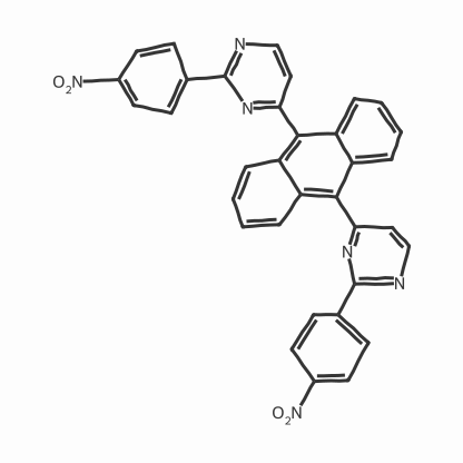 O=[N+]([O-])c1ccc(-c2nccc(-c3c4ccccc4c(-c4ccnc(-c5ccc([N+](=O)[O-])cc5)n4)c4ccccc34)n2)cc1